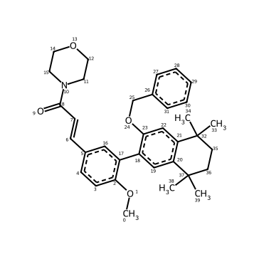 COc1ccc(C=CC(=O)N2CCOCC2)cc1-c1cc2c(cc1OCc1ccccc1)C(C)(C)CCC2(C)C